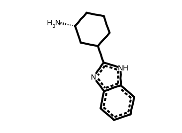 N[C@@H]1CCCC(c2nc3ccccc3[nH]2)C1